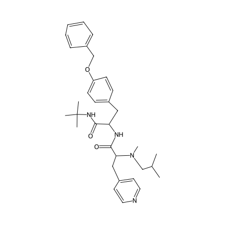 CC(C)CN(C)C(Cc1ccncc1)C(=O)NC(Cc1ccc(OCc2ccccc2)cc1)C(=O)NC(C)(C)C